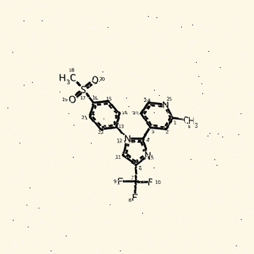 Cc1cc(-c2nc(C(F)(F)F)cn2-c2ccc(S(C)(=O)=O)cc2)ccn1